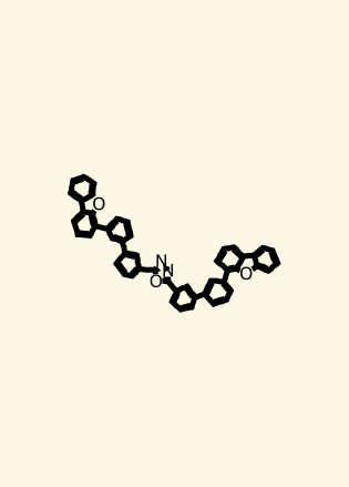 c1cc(-c2cccc(-c3cccc4c3oc3ccccc34)c2)cc(-c2nnc(-c3cccc(-c4cccc(-c5cccc6c5oc5ccccc56)c4)c3)o2)c1